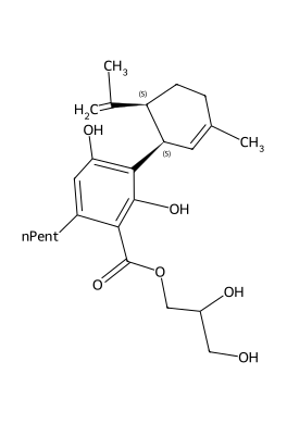 C=C(C)[C@H]1CCC(C)=C[C@H]1c1c(O)cc(CCCCC)c(C(=O)OCC(O)CO)c1O